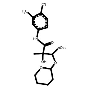 CCCCCCCCC(OC1CCCCO1)C(C)(O)C(=O)Nc1ccc(C#N)c(C(F)(F)F)c1